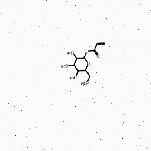 C=CC(=O)OC1OC(COC(C)=O)C(OC(C)=O)C(OC(C)=O)C1OC(C)=O